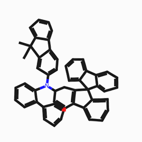 CC1(C)c2ccccc2-c2ccc(N(c3ccccc3-c3ccccc3)C3C=CC4=C(C3)C3(c5ccccc54)c4ccccc4-c4ccccc43)cc21